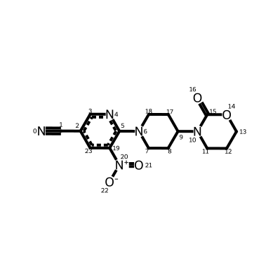 N#Cc1cnc(N2CCC(N3CCCOC3=O)CC2)c([N+](=O)[O-])c1